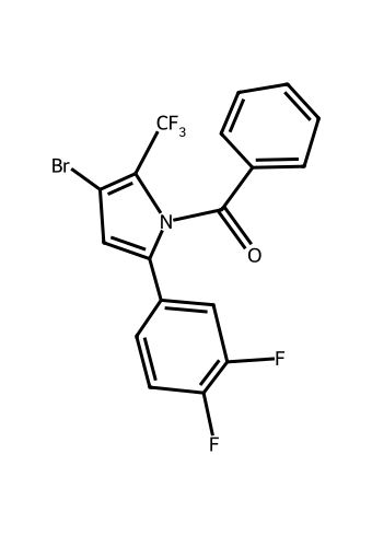 O=C(c1ccccc1)n1c(-c2ccc(F)c(F)c2)cc(Br)c1C(F)(F)F